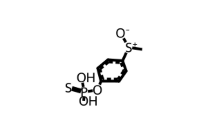 C[S+]([O-])c1ccc(OP(O)(O)=S)cc1